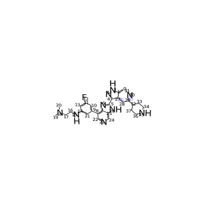 C=c1[nH]nc(-c2nc3c(-c4cc(F)cc(NCCN(C)C)c4)cncc3[nH]2)/c1=C/C(=N\C)C1CCNCC1